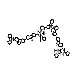 c1ccc(C2=NC(c3ccc4c(c3)sc3cc(-c5ccc6oc7c(-n8c9ccccc9c9cc(-c%10cccc(C%11=NC(c%12ccc%13c(c%12)sc%12cc(-c%14ccc%15oc%16cc(-n%17c%18ccccc%18c%18ccccc%18%17)ccc%16c%15c%14)ccc%12%13)NC(c%12ccccc%12)N%11)c%10)ccc98)cccc7c6c5)ccc34)NC(c3ccccc3)=N2)cc1